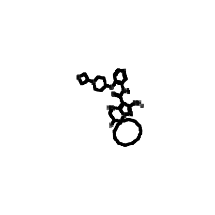 Nc1nn2c(c1C(=O)Nc1cnccc1OC1CCN(C3COC3)CC1)NCC(F)C21CCCCCCCCCCC1